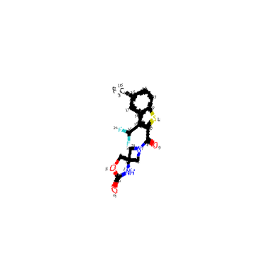 O=C1NC2(CO1)CN(C(=O)c1sc3ccc(C(F)(F)F)cc3c1C(F)F)C2